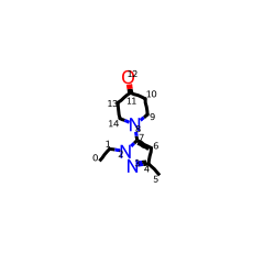 CCn1nc(C)cc1N1CCC(=O)CC1